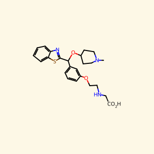 CN1CCC(OC(c2cccc(OCCNCC(=O)O)c2)c2nc3ccccc3s2)CC1